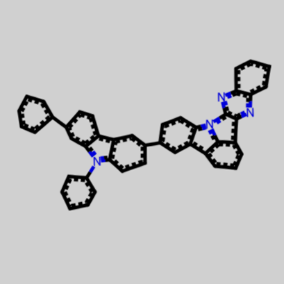 c1ccc(-c2ccc3c4cc(-c5ccc6c(c5)c5cccc7c8nc9ccccc9nc8n6c57)ccc4n(-c4ccccc4)c3c2)cc1